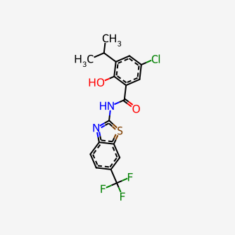 CC(C)c1cc(Cl)cc(C(=O)Nc2nc3ccc(C(F)(F)F)cc3s2)c1O